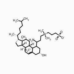 CC(C)CCC[C@@H](C)[C@H]1CC[C@H]2[C@@H]3CC=C4C[C@@H](O)CC(C(N)CC[N+](C)(C)CCCS(=O)(=O)[O-])[C@]4(C)[C@H]3CC[C@]12C